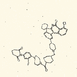 O=C(C1CCC(CN2CCC(c3ccc4c(c3)-n3c(nc(=O)c5c(Cl)cccc53)C43CCCCC3)CC2)CC1)N1CCN(c2ccc(N3C(=O)CCCC3=O)cc2F)CC1